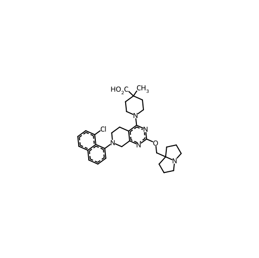 CC1(C(=O)O)CCN(c2nc(OCC34CCCN3CCC4)nc3c2CCN(c2cccc4cccc(Cl)c24)C3)CC1